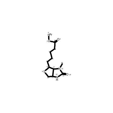 CCCOC(=O)CCCCC1SCC2NC(=O)N(C)C21